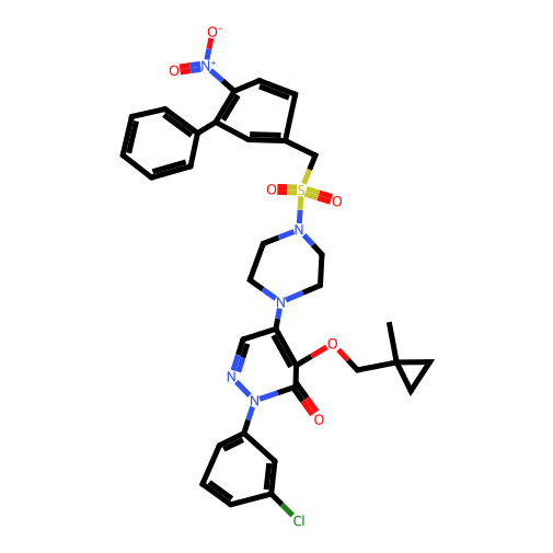 CC1(COc2c(N3CCN(S(=O)(=O)Cc4ccc([N+](=O)[O-])c(-c5ccccc5)c4)CC3)cnn(-c3cccc(Cl)c3)c2=O)CC1